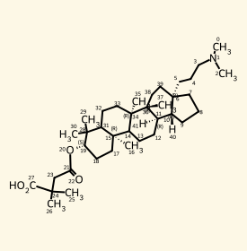 CN(C)CCC[C@]12CCC[C@@H]1[C@H]1CCC3[C@@]4(C)CC[C@H](OC(=O)CC(C)(C)C(=O)O)C(C)(C)C4CC[C@@]3(C)[C@]1(C)CC2